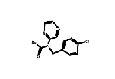 CC(C)(C)C(=O)N(Cc1ccc(Cl)cc1)c1cnccn1